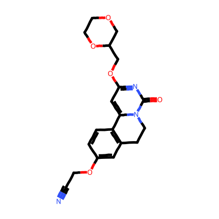 N#CCOc1ccc2c(c1)CCn1c-2cc(OCC2COCCO2)nc1=O